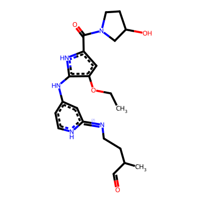 CCOc1cc(C(=O)N2CCC(O)C2)[nH]c1Nc1cc[nH]/c(=N\CCC(C)C=O)c1